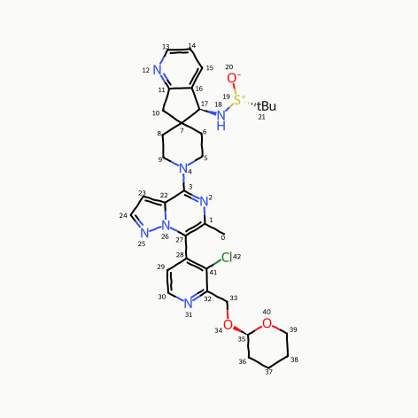 Cc1nc(N2CCC3(CC2)Cc2ncccc2[C@H]3N[S@+]([O-])C(C)(C)C)c2ccnn2c1-c1ccnc(CO[C@@H]2CCCCO2)c1Cl